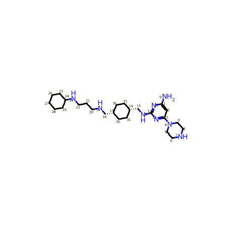 Nc1cc(N2CCNCC2)nc(NC[C@H]2CC[C@@H](CNCCCNC3CCCCC3)CC2)n1